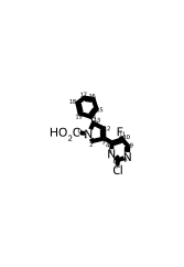 O=C(O)N1CC(c2nc(Cl)ncc2F)=C[C@H]1c1ccccc1